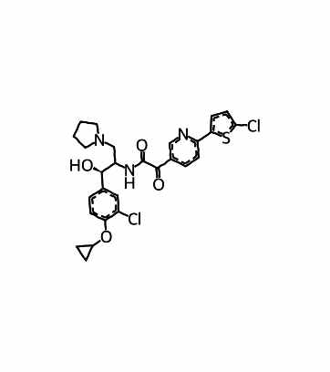 O=C(NC(CN1CCCC1)[C@H](O)c1ccc(OC2CC2)c(Cl)c1)C(=O)c1ccc(-c2ccc(Cl)s2)nc1